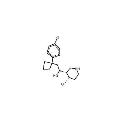 C[C@H]1CCNC[C@H]1C(O)CC1(c2ccc(Cl)cc2)CCC1